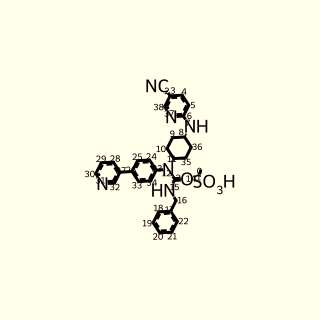 CS(=O)(=O)O.N#Cc1ccc(N[C@H]2CC[C@H](N(C(=O)NCc3ccccc3)c3ccc(-c4cccnc4)cc3)CC2)nc1